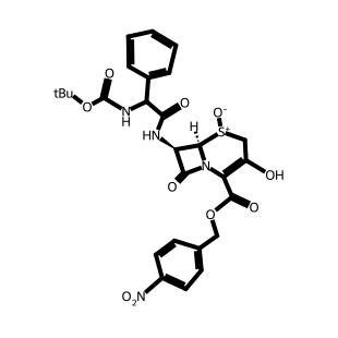 CC(C)(C)OC(=O)NC(C(=O)N[C@@H]1C(=O)N2C(C(=O)OCc3ccc([N+](=O)[O-])cc3)=C(O)C[S+]([O-])[C@H]12)c1ccccc1